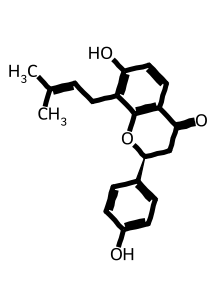 CC(C)=CCc1c(O)ccc2c1O[C@H](c1ccc(O)cc1)CC2=O